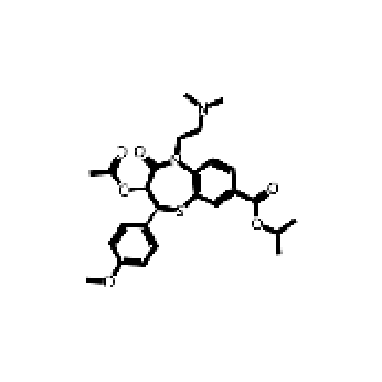 COc1ccc([C@@H]2Sc3cc(C(=O)OC(C)C)ccc3N(CCN(C)C)C(=O)[C@@H]2OC(C)=O)cc1